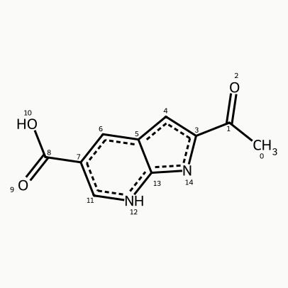 CC(=O)c1cc2cc(C(=O)O)c[nH]c-2n1